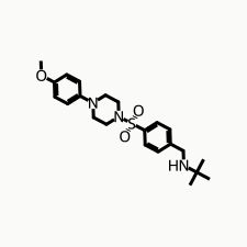 COc1ccc(N2CCN(S(=O)(=O)c3ccc(CNC(C)(C)C)cc3)CC2)cc1